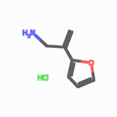 C=C(CN)c1ccco1.Cl